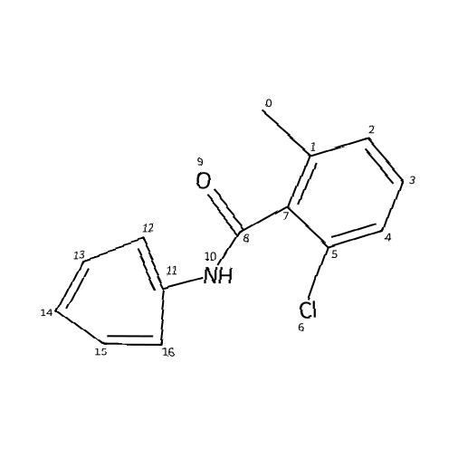 Cc1cccc(Cl)c1C(=O)Nc1ccccc1